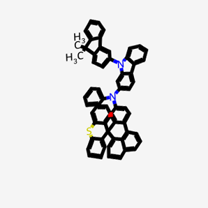 CC1(C)c2ccccc2-c2cc(-n3c4ccccc4c4ccc(N(c5ccccc5)c5ccc6c(c5)C5(c7ccccc7Sc7ccccc75)c5cccc7cccc-6c57)cc43)ccc21